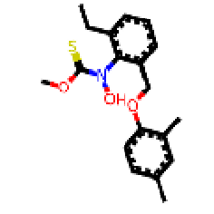 CCc1cccc(COc2ccc(C)cc2C)c1N(O)C(=S)OC